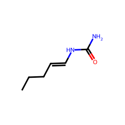 CCCC=CNC(N)=O